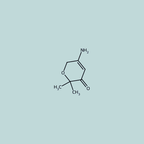 CC1(C)OCC(N)=CC1=O